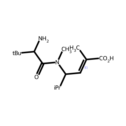 C/C(=C\C(C(C)C)N(C)C(=O)C(N)C(C)(C)C)C(=O)O